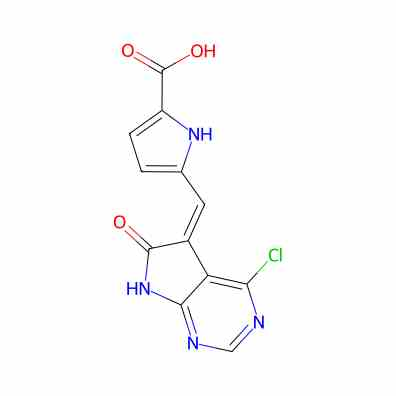 O=C1Nc2ncnc(Cl)c2C1=Cc1ccc(C(=O)O)[nH]1